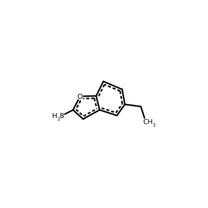 Bc1cc2cc(CC)ccc2o1